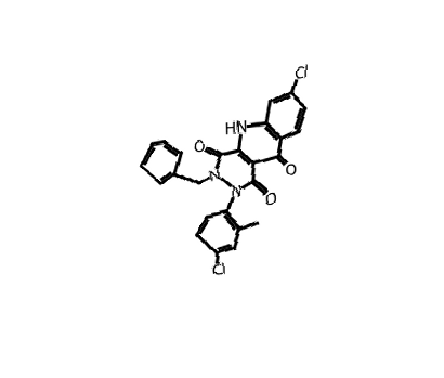 Cc1cc(Cl)ccc1-n1c(=O)c2c(=O)c3ccc(Cl)cc3[nH]c2c(=O)n1Cc1ccccc1